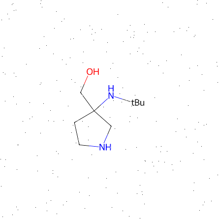 CC(C)(C)NC1(CO)CCNC1